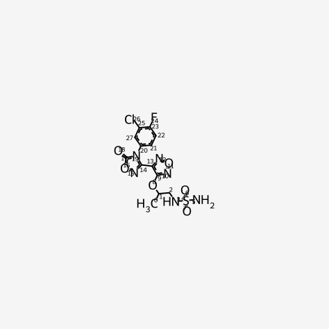 CC(CNS(N)(=O)=O)Oc1nonc1-c1noc(=O)n1-c1ccc(F)c(Cl)c1